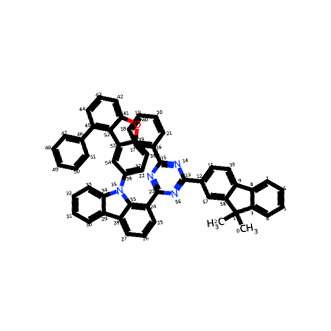 CC1(C)c2ccccc2-c2ccc(-c3nc(-c4ccccc4)nc(-c4cccc5c6ccccc6n(-c6ccc7oc8cccc(-c9ccccc9)c8c7c6)c45)n3)cc21